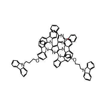 c1ccc(-c2cc(-c3c(-n4c5ccccc5c5ccccc54)c(-n4c5ccccc5c5cc(OCCCn6c7ccccc7c7ccccc76)ccc54)nc(-n4c5ccccc5c5cc(OCCCn6c7ccccc7c7ccccc76)ccc54)c3-n3c4ccccc4c4ccccc43)nc(-c3ccccc3)n2)cc1